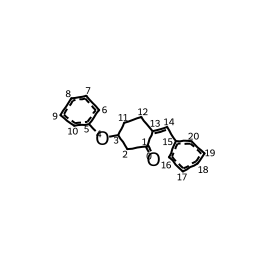 O=C1CC(Oc2ccccc2)CC/C1=C/c1ccccc1